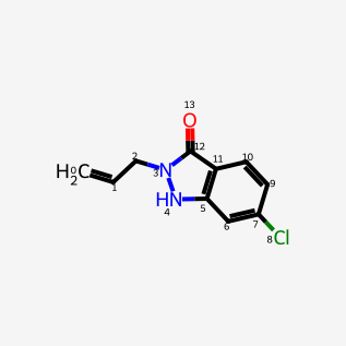 C=CCn1[nH]c2cc(Cl)ccc2c1=O